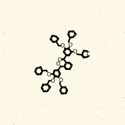 O=C(c1cc(OCc2ccccc2)c(OCc2ccccc2)c(OCc2ccccc2)c1)c1ccccc1C(=O)c1cc(OCc2ccccc2)c(OCc2ccccc2)c(OCc2ccccc2)c1